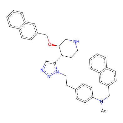 CC(=O)N(Cc1ccc2ccccc2c1)c1ccc(CCn2nncc2[C@H]2CCNC[C@@H]2OCc2ccc3ccccc3c2)cc1